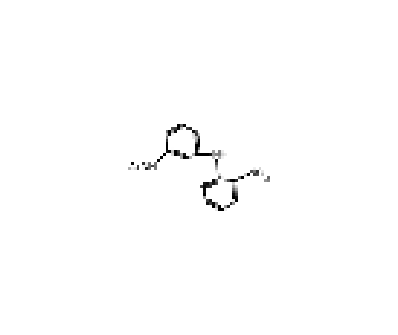 CC(=O)Nc1cccc(Nc2ncccc2[N+](=O)[O-])c1